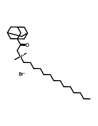 CCCCCCCCCCCCCC[N+](C)(C)CC(=O)C12CC3CC(CC(C3)C1)C2.[Br-]